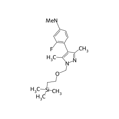 CNc1ccc(-c2c(C)nn(COCC[Si](C)(C)C)c2C)c(F)c1